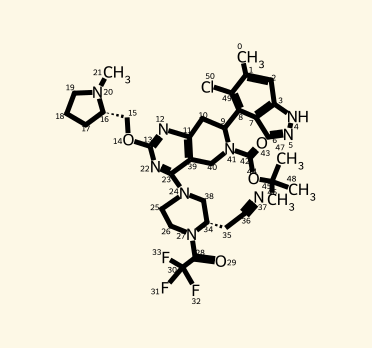 Cc1cc2[nH]ncc2c(C2Cc3nc(OC[C@@H]4CCCN4C)nc(N4CCN(C(=O)C(F)(F)F)[C@@H](CC#N)C4)c3CN2C(=O)OC(C)(C)C)c1Cl